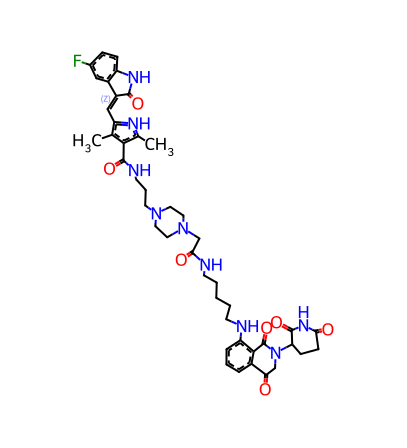 Cc1[nH]c(/C=C2\C(=O)Nc3ccc(F)cc32)c(C)c1C(=O)NCCCN1CCN(CC(=O)NCCCCCNc2cccc3c2C(=O)N(C2CCC(=O)NC2=O)CC3=O)CC1